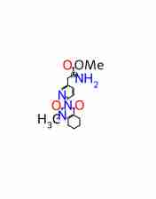 COC(=O)[C@@H](N)Cc1ccc(-n2c(=O)c3c(n(C)c2=O)CCCC3)nc1